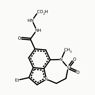 CCc1cn2c3c(cc(C(=O)NNC(=O)O)cc13)N(C)S(=O)(=O)CC2